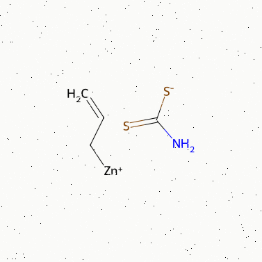 C=C[CH2][Zn+].NC(=S)[S-]